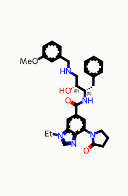 CCn1cnc2c(N3CCCC3=O)cc(C(=O)N[C@@H](Cc3ccccc3)[C@H](O)CNCc3cccc(OC)c3)cc21